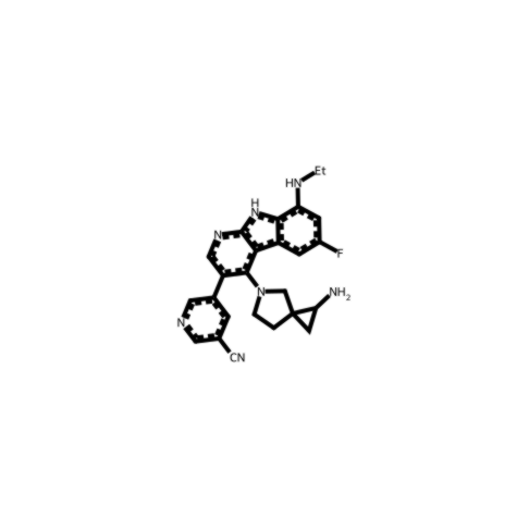 CCNc1cc(F)cc2c1[nH]c1ncc(-c3cncc(C#N)c3)c(N3CCC4(CC4N)C3)c12